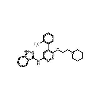 FC(F)(F)c1ccccc1-c1cc(Nc2n[nH]c3ccccc23)nnc1OCCN1CCCCC1